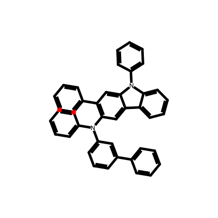 c1ccc(-c2cccc(N(c3ccccc3)c3cc4c5ccccc5n(-c5ccccc5)c4cc3-c3ccccc3)c2)cc1